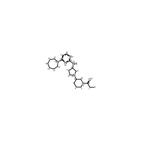 CCC(=O)N1CCCC(N2CCC(Nc3nccc(N4CCCCCC4)n3)C2)C1